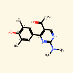 COC(=O)c1cnc(N(C)C)nc1-c1cc(C(C)(C)C)c(O)c(C(C)(C)C)c1